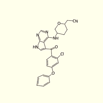 N#CCC1CCC(Nc2ncnc3[nH]cc(C(=O)c4ccc(Oc5ccccc5)cc4Cl)c23)CO1